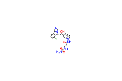 NS(=O)(=O)NCCC(=O)NN1C2CC3CC1CC(C(O)CC1c4c(F)cccc4-c4cncn41)(C3)C2